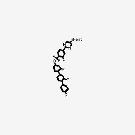 CCCCCc1cnc(-c2ccc(C(F)(F)Oc3ccc(-c4ccc(-c5ccc(F)cc5)c(F)c4)c(F)c3)c(F)c2)nc1